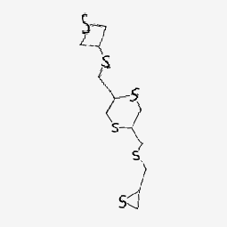 C1SCC1SCC1CSC(CSCC2CS2)CS1